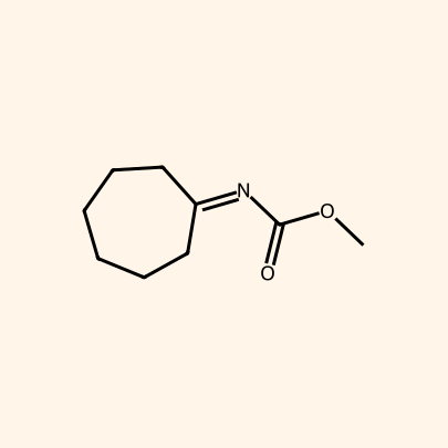 COC(=O)N=C1CCCCCC1